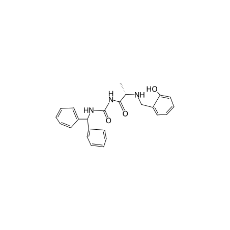 C[C@H](NCc1ccccc1O)C(=O)NC(=O)NC(c1ccccc1)c1ccccc1